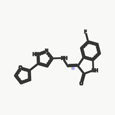 O=C1Nc2ccc(F)cc2/C1=C\Nc1cc(-c2ccco2)[nH]n1